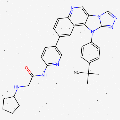 CC(C)(C#N)c1ccc(-n2c3c4cc(-c5ccc(NC(=O)CNC6CCCC6)nc5)ccc4ncc3n3cnnc23)cc1